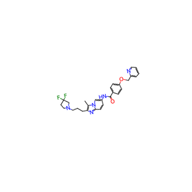 Cc1c(CCCN2CCC(F)(F)C2)nc2ccc(NC(=O)c3ccc(OCc4ccccn4)cc3)cn12